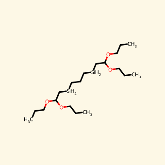 CCCOC(C[SiH2]CCC[SiH2]CC(OCCC)OCCC)OCCC